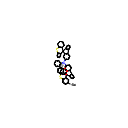 CC(C)(C)c1ccc2c(c1)C1(c3cc(C(C)(C)C)ccc3S2)c2ccccc2-c2ccc(N(c3ccc4c(c3)C3(C5=C(CCC=C5)Sc5ccccc53)c3ccccc3-4)c3ccccc3-c3ccccc3)cc21